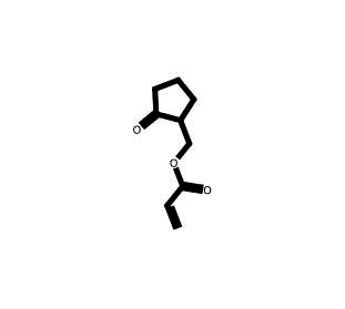 C=CC(=O)OCC1CCCC1=O